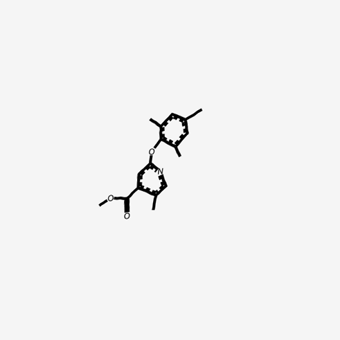 COC(=O)c1cc(Oc2c(C)cc(C)cc2C)ncc1C